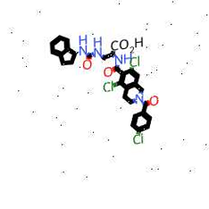 O=C(NCC(NC(=O)c1c(Cl)cc2c(c1Cl)CCN(C(=O)c1ccc(Cl)cc1)C2)C(=O)O)N[C@@H]1CCc2ccccc21